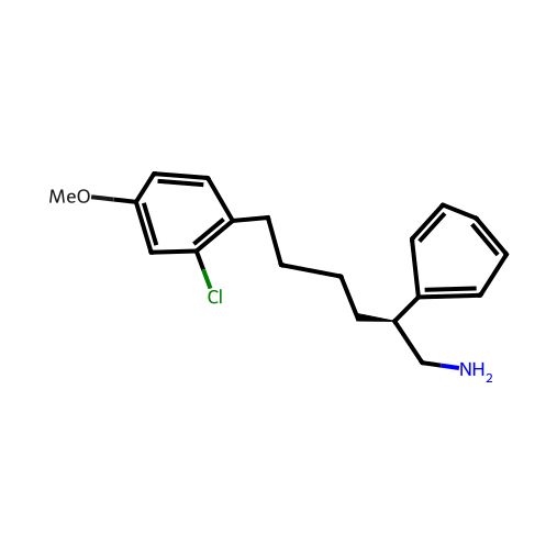 COc1ccc(CCCC[C@H](CN)c2ccccc2)c(Cl)c1